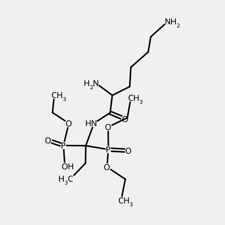 CCOP(=O)(O)C(CC)(NC(=O)C(N)CCCCN)P(=O)(OCC)OCC